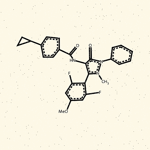 COc1cc(F)c(-c2c(NC(=O)c3ccc(C4CC4)cc3)c(=O)n(-c3ccccc3)n2C)c(F)c1